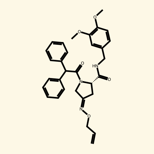 C=CCO/N=C1\C[C@@H](C(=O)NCc2ccc(OC)c(OC)c2)N(C(=O)C(c2ccccc2)c2ccccc2)C1